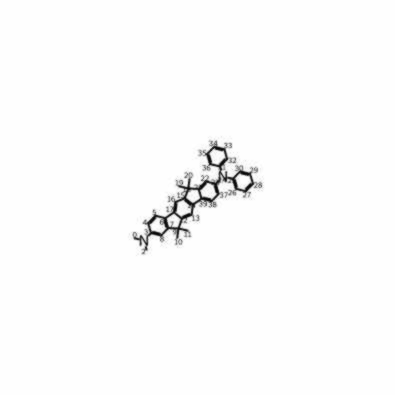 CN(C)c1ccc2c(c1)C(C)(C)c1cc3c(cc1-2)C(C)(C)c1cc(N(c2ccccc2)c2ccccc2)ccc1-3